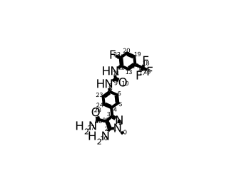 Cn1nc(-c2ccc(NC(=O)Nc3cc(C(F)(F)F)ccc3F)cc2)c(C(N)=O)c1N